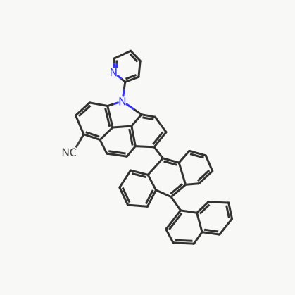 N#Cc1ccc2c3c1ccc1c(-c4c5ccccc5c(-c5cccc6ccccc56)c5ccccc45)ccc(c13)n2-c1ccccn1